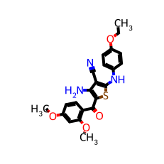 CCOc1ccc(Nc2sc(C(=O)c3ccc(OC)cc3OC)c(N)c2C#N)cc1